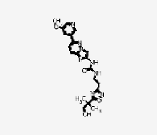 COc1cncc(-c2ccc3nc(NC(=O)NCCc4noc(C(C)(C)CO)n4)cn3n2)c1